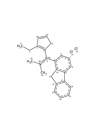 CCC1=[C]([Zr+2]([c]2cccc3c2Cc2ccccc2-3)=[Si](C)C)CC=C1.[Cl-].[Cl-]